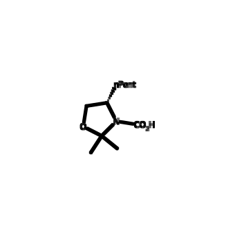 CCCCC[C@H]1COC(C)(C)N1C(=O)O